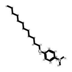 CCCCCCCCCCCCOc1ccc(N(C)C)cc1